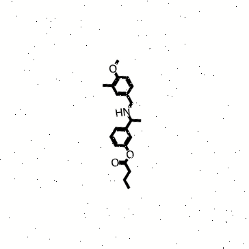 CCCC(=O)Oc1cccc(C(C)NCc2ccc(OC)c(C)c2)c1